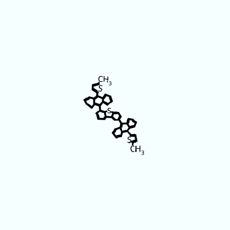 Cc1ccc(-c2c3ccccc3c(-c3ccc4sc5c(-c6c7ccccc7c(-c7ccc(C)s7)c7ccccc67)cccc5c4c3)c3ccccc23)s1